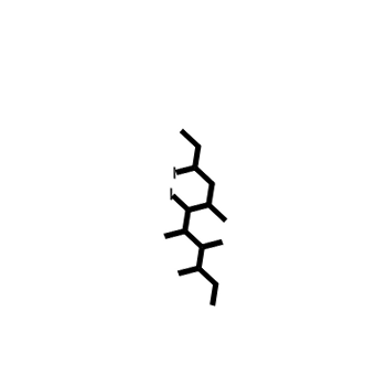 CCC(I)CC(C)C(I)C(C)C(C)C(C)CC